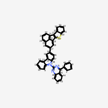 c1ccc(-c2nc(-n3c4ccccc4c4cc(-c5cc6c7c(cccc7c5)-c5c-6sc6ccccc56)ccc43)nc3ccccc23)cc1